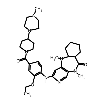 CCOc1cc(C(=O)N2CCC(N3CCN(C)CC3)CC2)ccc1Nc1cc2c(cn1)N(C)C(=O)C1CCCCC1N2C